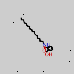 CCCCCCCCCCCCCCCCCCNC(=O)c1ccccc1C(=O)O